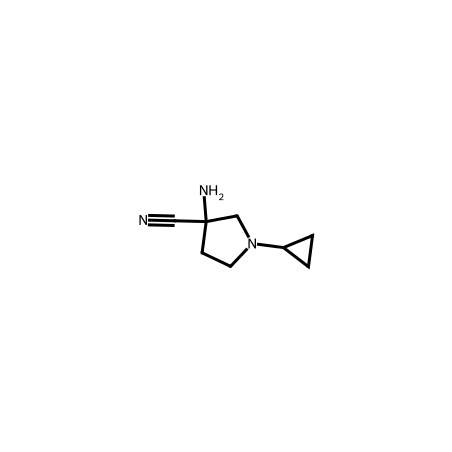 N#CC1(N)CCN(C2CC2)C1